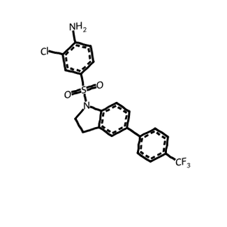 Nc1ccc(S(=O)(=O)N2CCc3cc(-c4ccc(C(F)(F)F)cc4)ccc32)cc1Cl